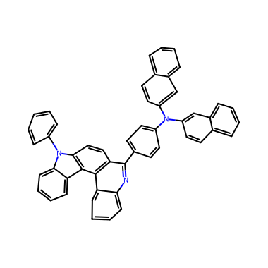 c1ccc(-n2c3ccccc3c3c4c(ccc32)c(-c2ccc(N(c3ccc5ccccc5c3)c3ccc5ccccc5c3)cc2)nc2ccccc24)cc1